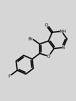 O=c1[nH]cnc2oc(-c3ccc(F)cc3)c(Br)c12